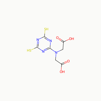 O=C(O)CN(CC(=O)O)c1nc(S)nc(S)n1